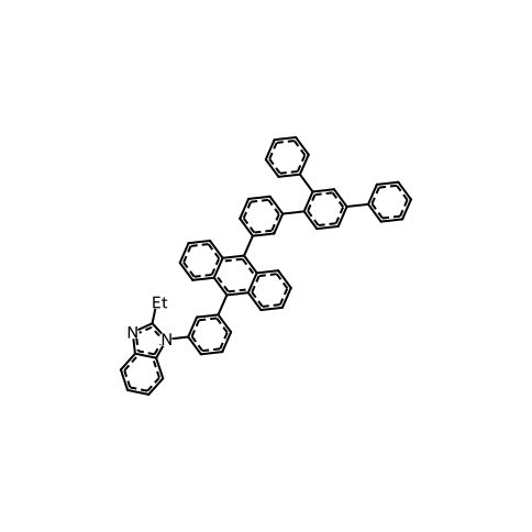 CCc1nc2ccccc2n1-c1cccc(-c2c3ccccc3c(-c3cccc(-c4ccc(-c5ccccc5)cc4-c4ccccc4)c3)c3ccccc23)c1